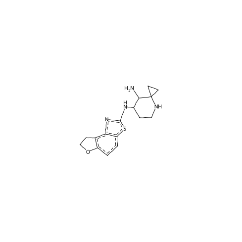 NC1C(Nc2nc3c4c(ccc3s2)OCC4)CCNC12CC2